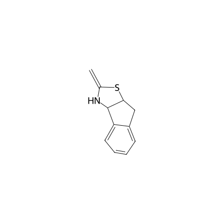 C=C1NC2c3ccccc3CC2S1